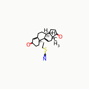 C[C@]12CC=C3[C@@H](CCC4=CC(=O)CC[C@@]43CCSC#N)[C@@H]1CCC2=O